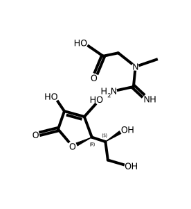 CN(CC(=O)O)C(=N)N.O=C1O[C@H]([C@@H](O)CO)C(O)=C1O